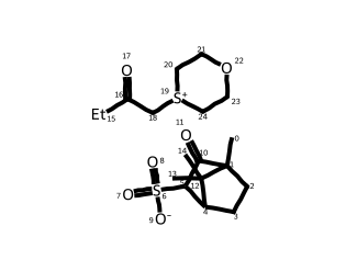 CC12CCC(C(S(=O)(=O)[O-])C1=O)C2(C)C.CCC(=O)C[S+]1CCOCC1